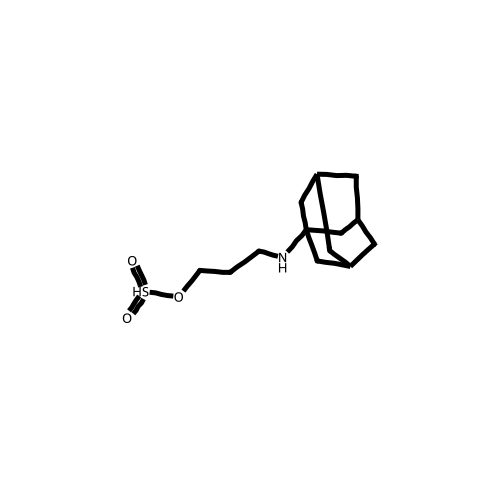 O=[SH](=O)OCCCNC12CC3CC(CC(C3)C1)C2